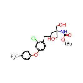 CC(C)(C)OC(=O)NC(CO)(CO)CCCc1ccc(Oc2ccc(C(F)(F)F)cc2)cc1Cl